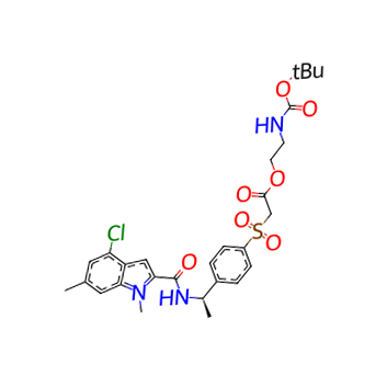 Cc1cc(Cl)c2cc(C(=O)N[C@H](C)c3ccc(S(=O)(=O)CC(=O)OCCNC(=O)OC(C)(C)C)cc3)n(C)c2c1